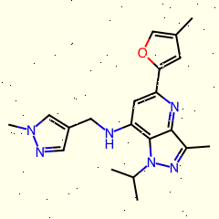 Cc1coc(-c2cc(NCc3cnn(C)c3)c3c(n2)c(C)nn3C(C)C)c1